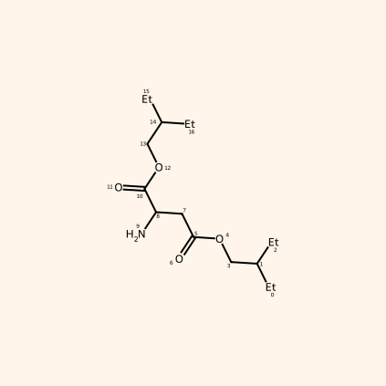 CCC(CC)COC(=O)CC(N)C(=O)OCC(CC)CC